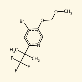 COCOc1cnc(C(C)(C)C(F)(F)F)cc1Br